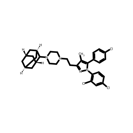 Cc1c(CCN2CCN(C3[C@H]4C[C@@H]5C[C@@H](C[C@H]3C5)C4)CC2)nn(-c2ccc(Cl)cc2Cl)c1-c1ccc(Cl)cc1